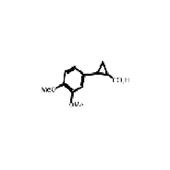 COc1ccc(C2CC2C(=O)O)cc1OC